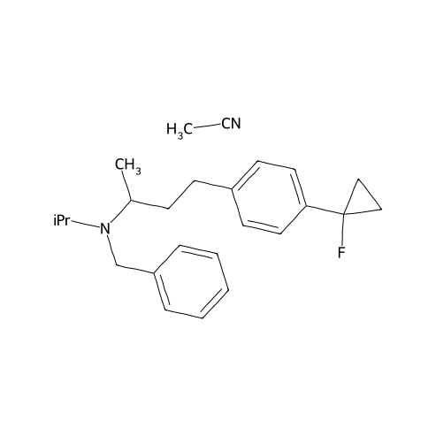 CC#N.CC(C)N(Cc1ccccc1)C(C)CCc1ccc(C2(F)CC2)cc1